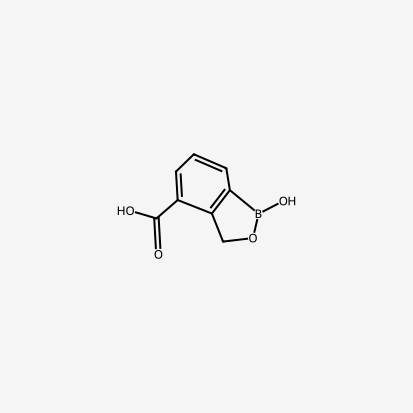 O=C(O)c1cccc2c1COB2O